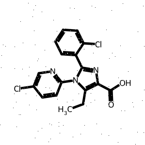 CCc1c(C(=O)O)nc(-c2ccccc2Cl)n1-c1ccc(Cl)cn1